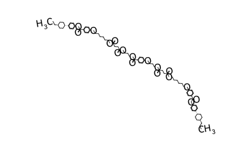 CCC[C@H]1CC[C@H](c2ccc(OC(=O)c3ccc(OCCCCCCOC(=O)CCC(=O)OCCCOC(=O)c4ccc(OCCCOC(=O)CCC(=O)OCCCCCCOc5ccc(C(=O)Oc6ccc([C@H]7CC[C@H](CCC)CC7)cc6)cc5)cc4)cc3)cc2)CC1